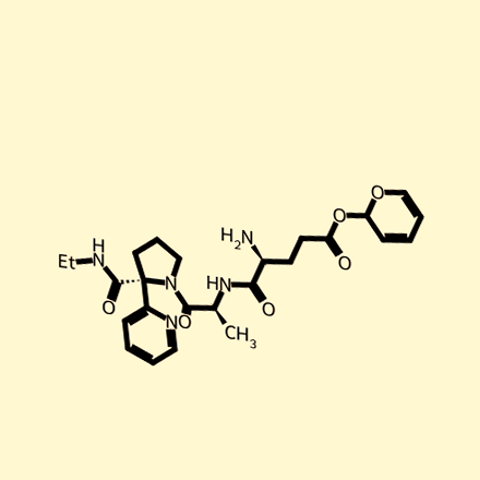 CCNC(=O)[C@]1(c2ccccn2)CCCN1C(=O)[C@H](C)NC(=O)[C@@H](N)CCC(=O)OC1C=CC=CO1